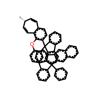 C[C@@H]1C=Cc2ccc3c(c2C=C1)Oc1ccc(-c2ccccc2C2(c4ccccc4)c4ccccc4-c4cc5ccccc5cc42)cc1C31c2ccccc2-c2ccccc21